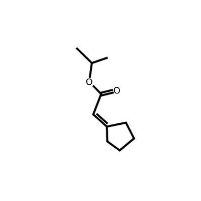 CC(C)OC(=O)C=C1CCCC1